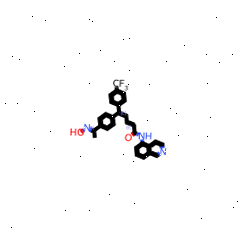 C/C(=N\O)c1ccc(/C(=C\C=C\C(=O)Nc2cccc3cnccc23)c2ccc(C(F)(F)F)cc2)cc1